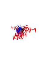 O=C(O)[C@H]1O[C@@H](n2cnc3c(O)ncnc32)[C@H](O)[C@@H]1O.O=P(O)(O)O